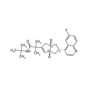 CC(C)(C)NC(=O)C(C)(C)C1=C[C@H]2C[C@@H](c3ccnc4ccc(F)cc34)C[C@H]2C1